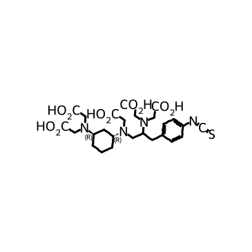 O=C(O)CN(CC(=O)O)C(Cc1ccc(N=C=S)cc1)CN(CC(=O)O)[C@@H]1CCC[C@@H](N(CC(=O)O)CC(=O)O)C1